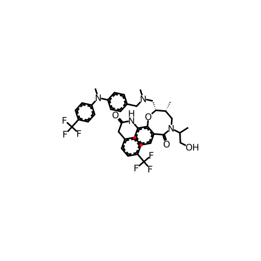 CC(CO)N1C[C@@H](C)[C@@H](CN(C)Cc2ccc(N(C)c3ccc(C(F)(F)F)cc3)cc2)Oc2c(NC(=O)Cc3ccc(C(F)(F)F)cc3)cccc2C1=O